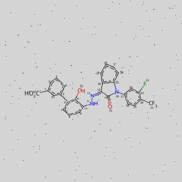 O=C(O)c1cccc(-c2cccc(NN=C3C(=O)N(c4ccc(C(F)(F)F)c(F)c4)c4ccccc43)c2O)c1